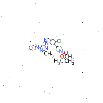 Cc1nc(N2CC3CC2CO3)cc(-n2ncc3cc(Cl)c(C4CCN(C(=O)OC(C)(C)C)CC4)cc32)n1